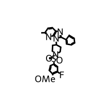 COc1ccc(S(=O)(=O)N2CCC(n3c(-c4ccccc4)nc4ccc(C)nc43)CC2)cc1F